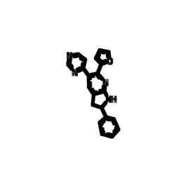 c1ccc(C2Cc3cc(-c4ccncn4)c(-c4ccco4)nc3N2)cc1